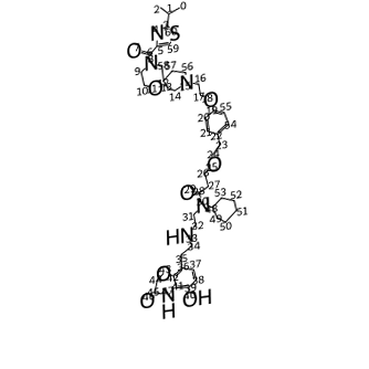 CC(C)c1nc(C(=O)N2CCOC3(CCN(CCOc4ccc(CCOCCC(=O)N(CCNCCc5ccc(O)c6c5OCC(=O)N6)C5CCCCC5)cc4)CC3)C2)cs1